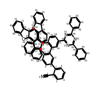 N#Cc1ccccc1-c1ccc(-n2c3ccccc3c3c4oc5ccccc5c4ccc32)c(-c2cc(-c3nc(-c4ccccc4)nc(-c4ccccc4)n3)ccc2-n2c3ccccc3c3c4oc5ccccc5c4ccc32)c1